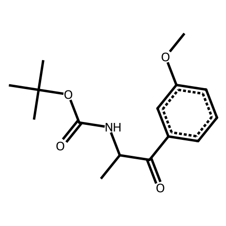 COc1cccc(C(=O)C(C)NC(=O)OC(C)(C)C)c1